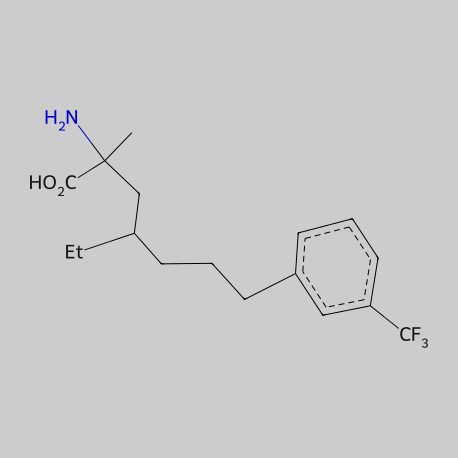 CCC(CCCc1cccc(C(F)(F)F)c1)CC(C)(N)C(=O)O